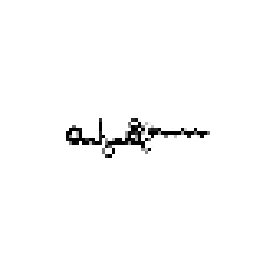 CCCCCCCCCCOc1c(OC)cc(C=CC(=O)NCCCc2ccccc2)cc1OC